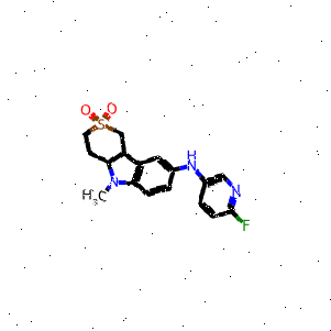 CN1c2ccc(Nc3ccc(F)nc3)cc2C2CS(=O)(=O)CCC21